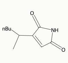 CCCCC(C)C1=CC(=O)NC1=O